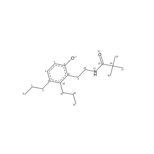 CCCc1ccc(Cl)c(CCNC(=O)C(C)(C)C)c1CCC